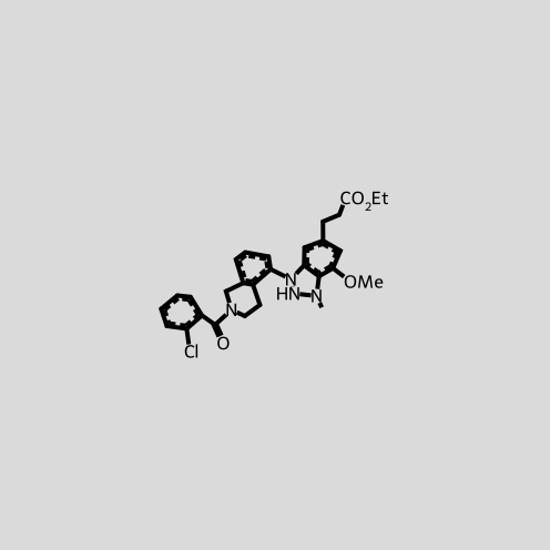 CCOC(=O)CCc1cc(OC)c2c(c1)N(c1cccc3c1CCN(C(=O)c1ccccc1Cl)C3)NN2C